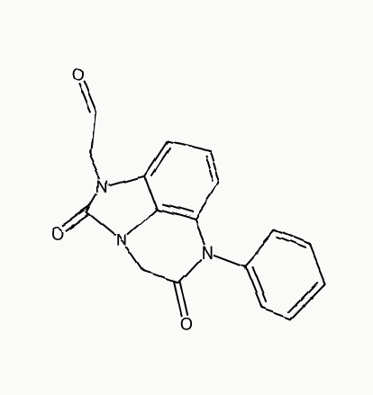 O=CCn1c(=O)n2c3c(cccc31)N(c1ccccc1)C(=O)C2